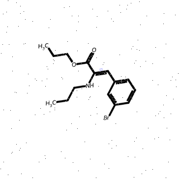 CCCN/C(=C\c1cccc(Br)c1)C(=O)OCCC